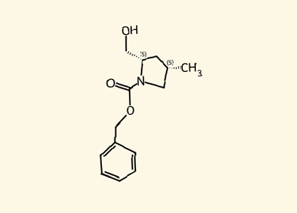 C[C@H]1C[C@@H](CO)N(C(=O)OCc2ccccc2)C1